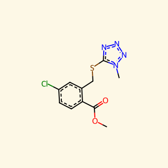 COC(=O)c1ccc(Cl)cc1CSc1nnnn1C